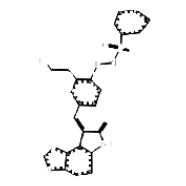 O=C1Nc2ccc3ncsc3c2C1=Cc1ccc(NNS(=O)(=O)c2ccccc2)c(CCO)c1